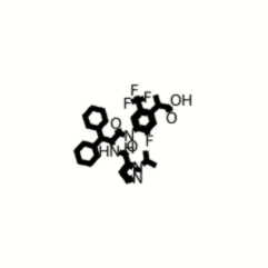 CC(C(=O)O)c1cc(F)c(NC(=O)C(NC(=O)c2ccnn2C(C)C)C(C2CCCCC2)C2CCCCC2)cc1C(F)(F)F